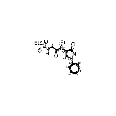 CCN(C(=O)CNS(=O)(=O)CC)c1cn(-c2cccnc2)nc1Cl